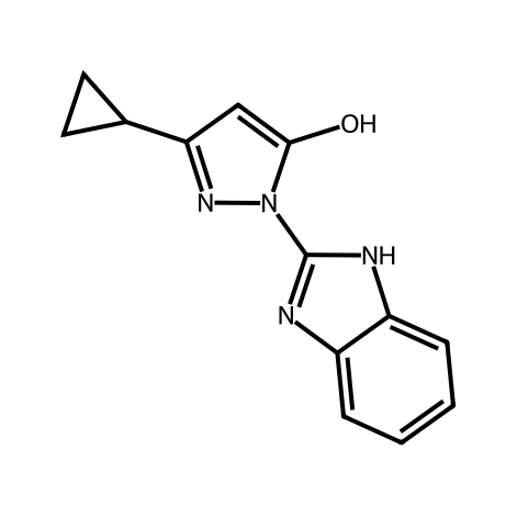 Oc1cc(C2CC2)nn1-c1nc2ccccc2[nH]1